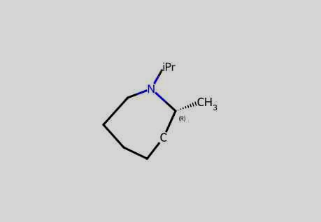 CC(C)N1CCCCC[C@H]1C